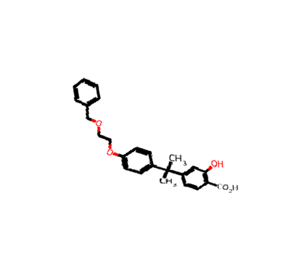 CC(C)(c1ccc(OCCOCc2ccccc2)cc1)c1ccc(C(=O)O)c(O)c1